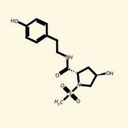 CS(=O)(=O)N1C[C@H](O)C[C@H]1C(=O)NCCc1ccc(O)cc1